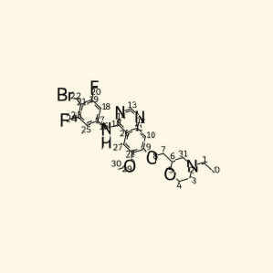 CCN1CCOC(COc2cc3ncnc(Nc4cc(F)c(Br)c(F)c4)c3cc2OC)C1